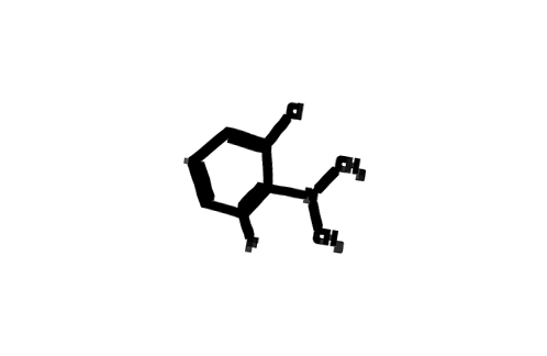 CN(C)c1c(F)c[c]cc1Cl